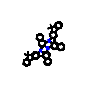 CC1(C)c2ccccc2-c2cc3c4c5ccccc5cc5c4n(c4cc6ccccc6c6c4-n5c4cc5ccccc5c5c7cc8c(cc7n6c54)C(C)(C)c4ccccc4-8)c3cc21